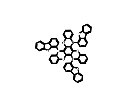 c1ccc2c(c1)Oc1c(c3c(c4c1B(c1cccc5c1sc1ccccc15)c1ccccc1O4)B(c1cccc4c1sc1ccccc14)c1ccccc1O3)B2c1cccc2c1sc1ccccc12